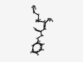 C=CCN/C(C)=C\C(=O)OCc1ccccc1